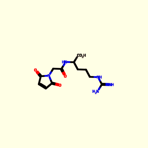 N=C(N)NCCCC(NC(=O)CN1C(=O)C=CC1=O)C(=O)O